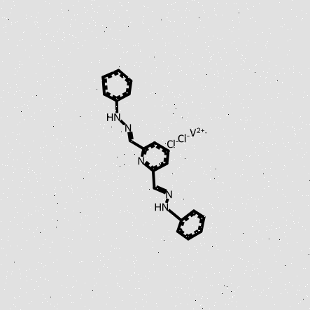 C(=NNc1ccccc1)c1cccc(C=NNc2ccccc2)n1.[Cl-].[Cl-].[V+2]